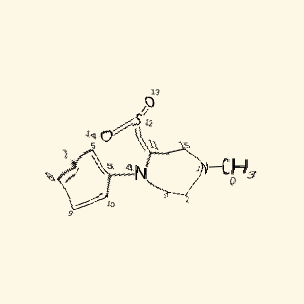 CN1CCN(c2ccccc2)C(=S(=O)=O)C1